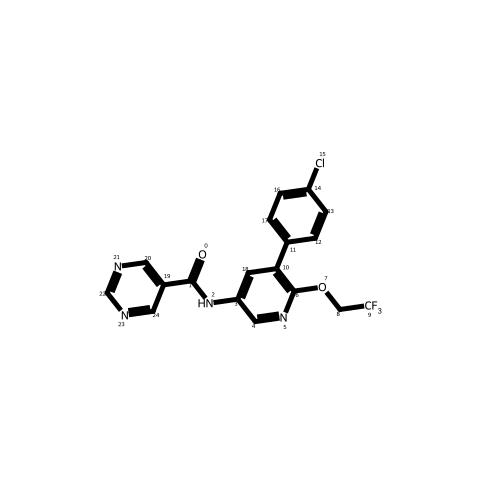 O=C(Nc1cnc(OCC(F)(F)F)c(-c2ccc(Cl)cc2)c1)c1cncnc1